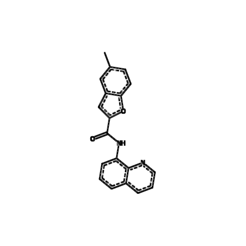 Cc1ccc2oc(C(=O)Nc3cccc4cccnc34)cc2c1